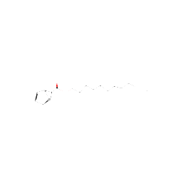 CCCCCCCCCCOC(=O)C1CC2C=CC1C2